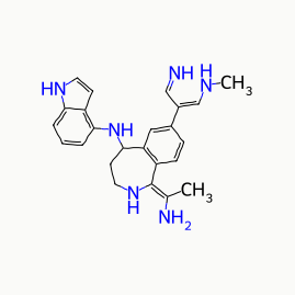 CN/C=C(\C=N)c1ccc2c(c1)C(Nc1cccc3[nH]ccc13)CCN/C2=C(/C)N